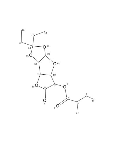 CCC(C)C(=O)OC1C(=O)OC2C3OC(CC)(CC)OC3OC12